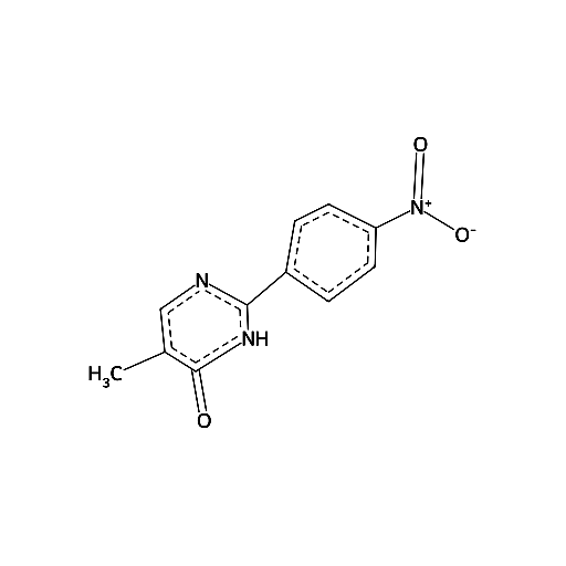 Cc1cnc(-c2ccc([N+](=O)[O-])cc2)[nH]c1=O